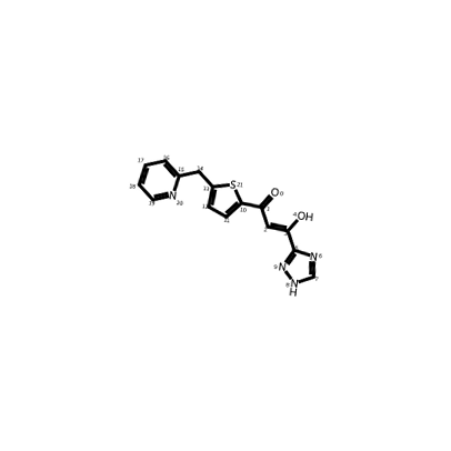 O=C(C=C(O)c1nc[nH]n1)c1ccc(Cc2ccccn2)s1